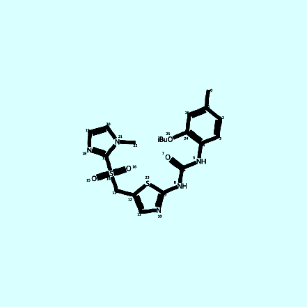 Cc1ccc(NC(=O)Nc2ncc(CS(=O)(=O)c3nccn3C)s2)c(OCC(C)C)c1